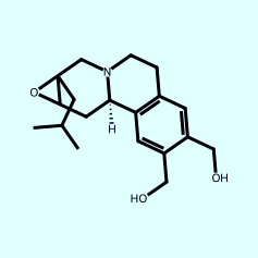 CC(C)CC12CN3CCc4cc(CO)c(CO)cc4[C@H]3CC1O2